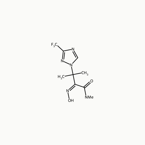 CNC(=O)C(=NO)C(C)(C)n1cnc(C(F)(F)F)n1